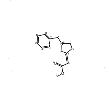 COC(=O)C=C1CCN(Cc2ccccc2)C1